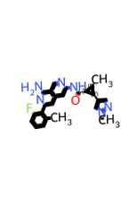 Cc1cccc(F)c1-c1cc2cc(NC(=O)[C@@H]3[C@@H](C)[C@H]3c3cnn(C)c3)ncc2c(N)n1